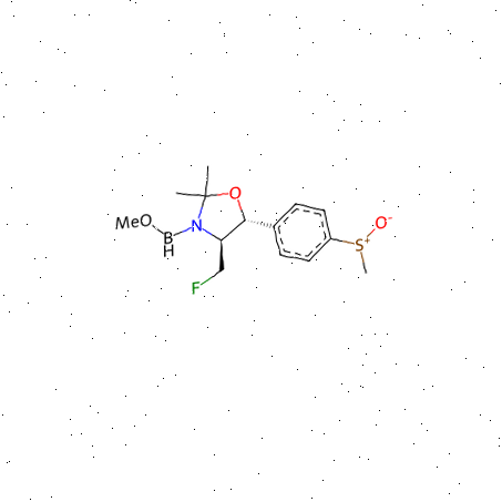 COBN1[C@H](CF)[C@@H](c2ccc([S+](C)[O-])cc2)OC1(C)C